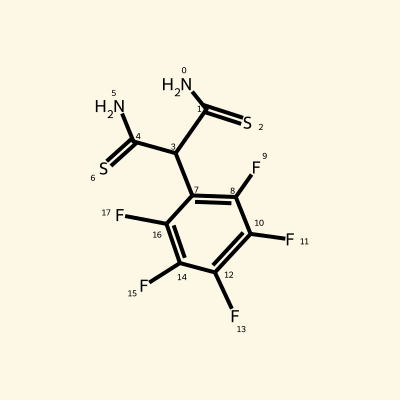 NC(=S)C(C(N)=S)c1c(F)c(F)c(F)c(F)c1F